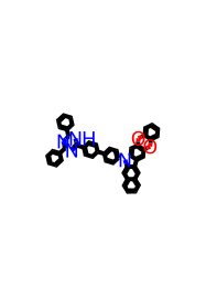 C1=CCCC(C2N=C(c3ccccc3)N=C(C3=CCC(c4ccc(-n5c6cc7c(cc6c6cc8ccccc8cc65)Oc5ccccc5O7)cc4)C=C3)N2)=C1